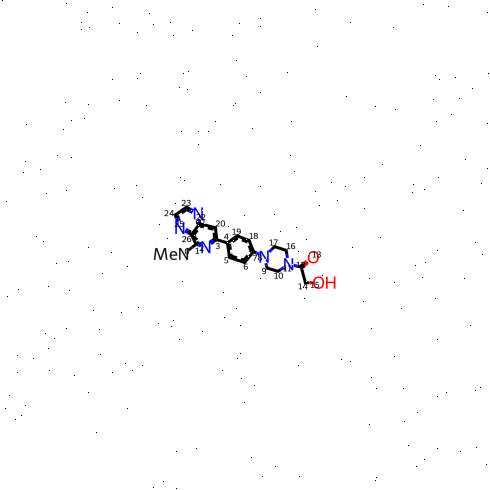 CNc1nc(-c2ccc(N3CCN(C(=O)CO)CC3)cc2)cc2nccnc12